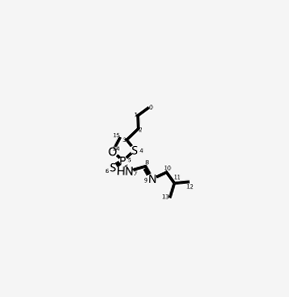 CCCCSP(=S)(N/C=N/CC(C)C)OC